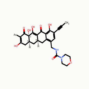 CC#Cc1cc(CNC(=O)N2CCOCC2)c2c(c1O)C(=O)C1=C(O)[C@]3(O)C(=O)C(C(C)=O)=C(O)C[C@@H]3C[C@@H]1C2